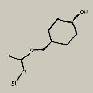 CCOC(C)OC[C@H]1CC[C@@H](O)CC1